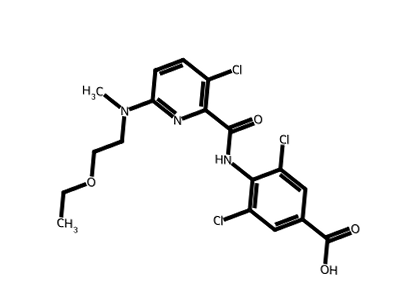 CCOCCN(C)c1ccc(Cl)c(C(=O)Nc2c(Cl)cc(C(=O)O)cc2Cl)n1